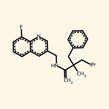 C=C(NCc1cnc2c(F)cccc2c1)C(C)(Cc1ccccc1)CC(C)C